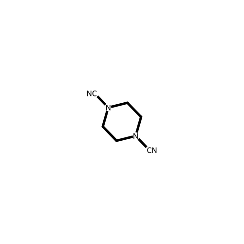 N#CN1CCN(C#N)CC1